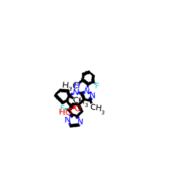 Cc1cccc(F)c1-n1nc(C)c(-c2cc(F)c3nccnc3c2)c1NC1(C)C=CC=CC1C(=O)O